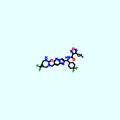 Cc1nonc1C(=O)NC(c1cn2ncc(CN3CC4C(CNC3=O)C4(F)F)cc2n1)C1CCC(F)(F)CC1